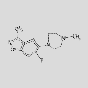 Cc1noc2cc(F)c(N3CCN(C)CC3)cc12